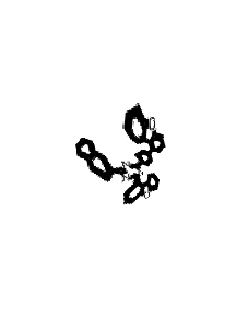 C1=C(c2nc(-c3ccc(-c4cccc5oc6ccccc6c45)cc3)nc(-c3ccc4ccccc4c3)n2)c2c(oc3ccccc23)CC1